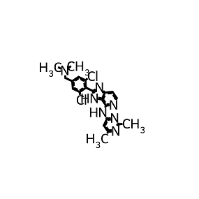 Cc1cc(Nc2nccc3nc(-c4c(Cl)cc(CN(C)C)cc4Cl)[nH]c23)nc(C)n1